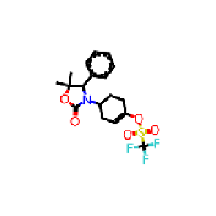 CC1(C)OC(=O)N(C2CC=C(OS(=O)(=O)C(F)(F)F)CC2)C1c1ccccc1